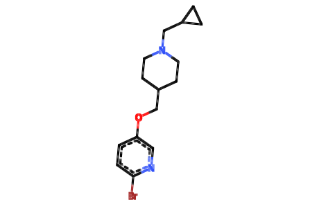 Brc1ccc(OCC2CCN(CC3CC3)CC2)cn1